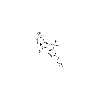 CCS(=O)(=O)c1cc(OCC(F)(F)F)cnc1-c1nc2cc(C(F)(F)F)ncn2c1Br